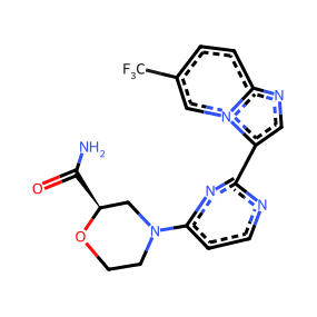 NC(=O)[C@H]1CN(c2ccnc(-c3cnc4ccc(C(F)(F)F)cn34)n2)CCO1